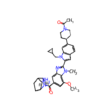 COc1cc(C(=O)N2CC3CCC2[C@@H]3N)cc2nc(-c3cc4ccc(C5CCN(C(C)=O)CC5)cc4n3CC3CC3)n(C)c12